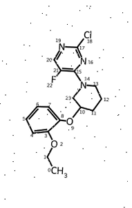 CCOc1ccccc1OC1CCCN(c2nc(Cl)ncc2F)C1